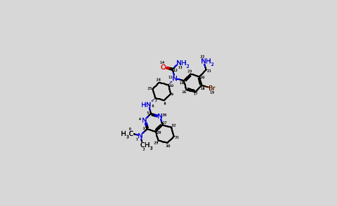 CN(C)c1nc(N[C@H]2CC[C@@H](N(C(N)=O)c3ccc(Br)c(CN)c3)CC2)nc2c1CCCC2